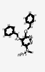 CCCN(C)c1cc(OCc2ccccc2)c(OCc2ccccc2)nn1